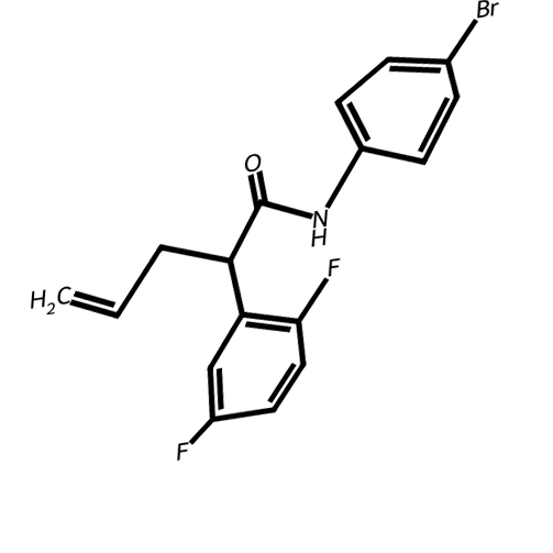 C=CCC(C(=O)Nc1ccc(Br)cc1)c1cc(F)ccc1F